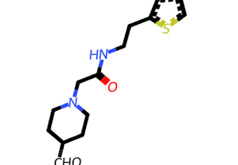 O=CC1CCN(CC(=O)NCCc2cccs2)CC1